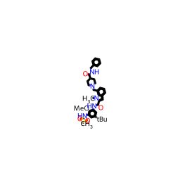 COc1c(NC(=O)c2cc3cccc(CN4CCC(C(=O)NCc5ccccc5)CC4)c3n2C)cc(C(C)(C)C)cc1NS(C)(=O)=O